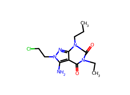 CCCn1c(=O)n(CC)c(=O)c2c(N)n(CCCl)nc21